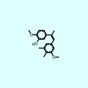 COc1ccc(/C(C)=C\c2cc(C)c(C)c(OC)c2)cc1O